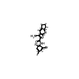 Nc1c(C(=O)Nc2c(F)cc(F)cc2Br)oc2nc3c(cc12)CCC3